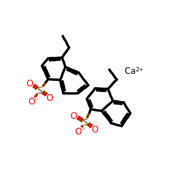 CCc1ccc(S(=O)(=O)[O-])c2ccccc12.CCc1ccc(S(=O)(=O)[O-])c2ccccc12.[Ca+2]